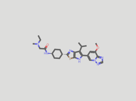 CCN(C)CC(=O)N[C@H]1CC[C@H](c2nc3c(C(C)C)c(-c4cc(OC)c5ncnn5c4)[nH]c3s2)CC1